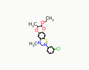 CCOC(=O)C(C)Oc1ccc2c(c1)N(C)CN(c1cccc(Cl)c1)S2